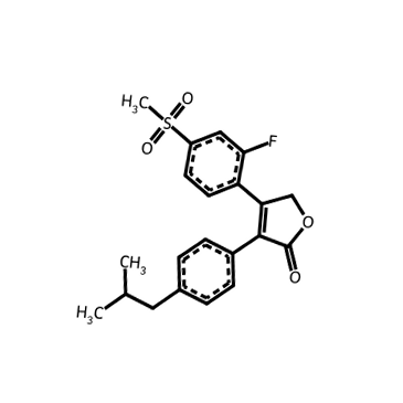 CC(C)Cc1ccc(C2=C(c3ccc(S(C)(=O)=O)cc3F)COC2=O)cc1